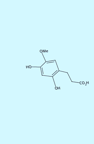 COc1cc(CCC(=O)O)c(O)cc1O